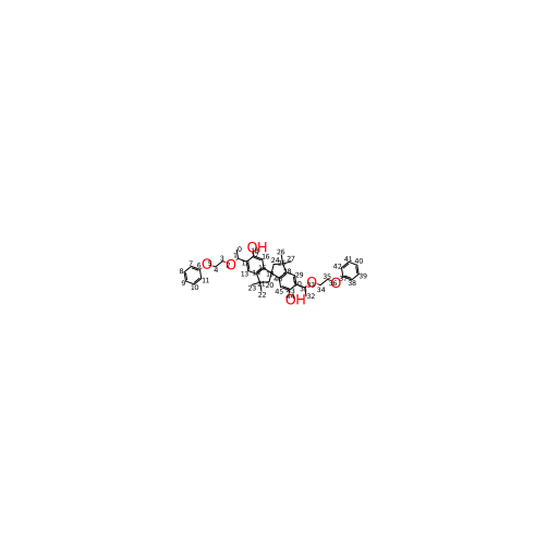 CC(OCCOc1ccccc1)c1cc2c(cc1O)C1(CC2(C)C)CC(C)(C)c2cc(C(C)OCCOc3ccccc3)c(O)cc21